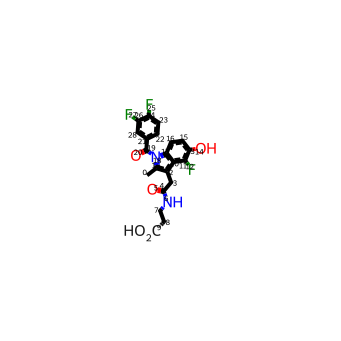 Cc1c(CC(=O)NCCC(=O)O)c2c(F)c(O)ccc2n1C(=O)c1ccc(F)c(F)c1